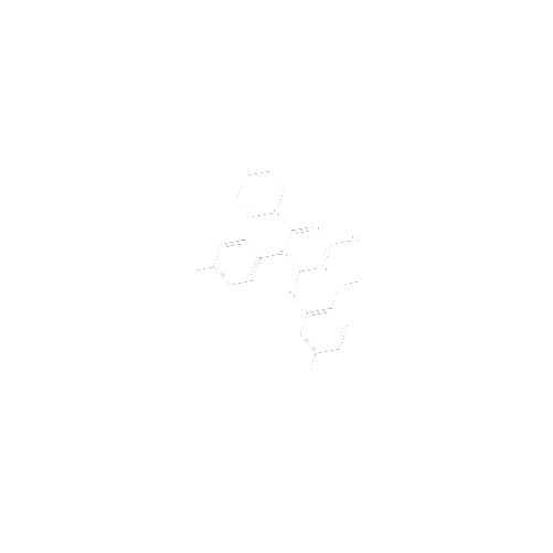 COc1ccc(Cl)cc1NC1N=C(N)N=C(N2CCOCC2)N1c1ccc(C)cc1